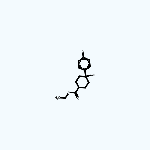 CCOC(=O)C1CCC(O)(c2ccc(Br)cc2)CC1